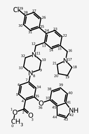 COC(=O)c1ccc(N2CCN(Cc3cc(CN4CCCC4)ccc3-c3ccc(Cl)cc3)CC2)cc1Oc1cccc2[nH]ccc12